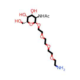 CC(=O)N[C@H]1[C@@H](OCCOCCOCCOCCN)O[C@H](CO)[C@H](O)[C@@H]1O